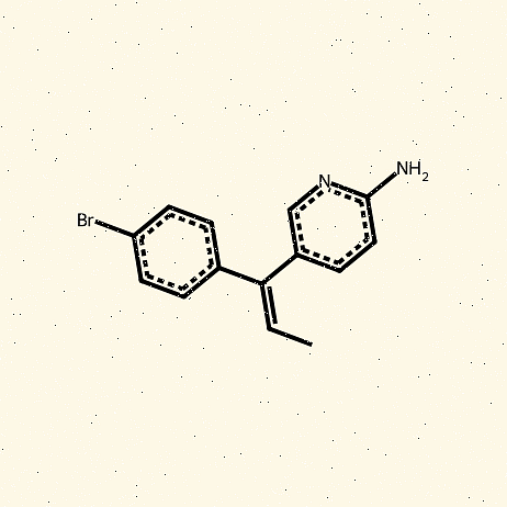 CC=C(c1ccc(Br)cc1)c1ccc(N)nc1